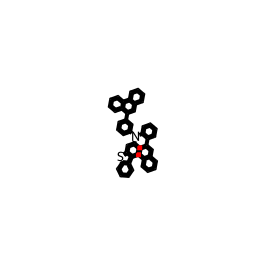 c1cc(-c2cc3ccccc3c3ccccc23)cc(N(c2ccc3c(c2)sc2ccccc23)c2ccccc2-c2ccc3ccccc3c2)c1